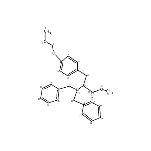 COCOc1ccc(CC(C(=O)OC)N(Cc2ccccc2)Cc2ccccc2)cc1